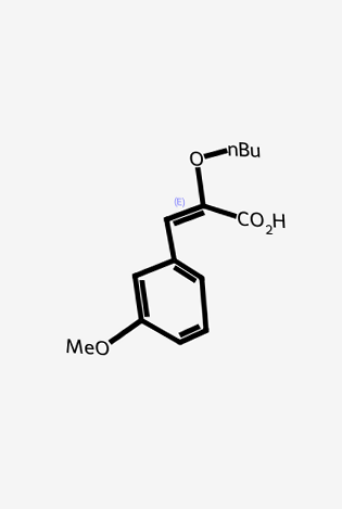 CCCCO/C(=C/c1cccc(OC)c1)C(=O)O